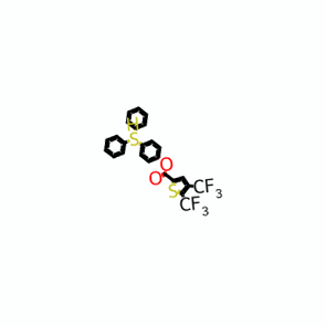 O=C(Oc1ccc([SH](c2ccccc2)c2ccccc2)cc1)c1cc(C(F)(F)F)c(C(F)(F)F)s1